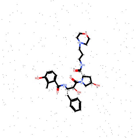 Cc1c(O)cccc1C(=O)N[C@@H](Cc1ccccc1)[C@H](O)C(=O)N1C[C@H](O)C[C@H]1C(=O)NCCCN1CCOCC1